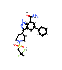 CC(F)(F)CS(=O)(=O)N1CCC(c2n[nH]c3c(C(N)=O)cc(-c4ccccc4)cc23)CC1